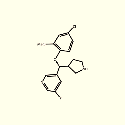 COc1cc(Cl)ccc1O[C@H](c1cncc(F)c1)C1CCNC1